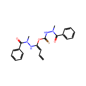 C=C/C=C(\NN(C)C(=O)c1ccccc1)OC(=S)NN(C)C(=O)c1ccccc1